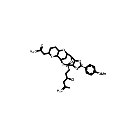 C=C(I)CC(Cl)CC[C@@]12OC3CC(OC4CCC(CC(=O)OC)OC43)C(O1)C1O[C@@H](c3ccc(OC)cc3)OC12